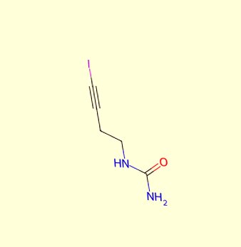 NC(=O)NCCC#CI